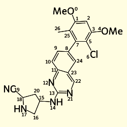 COc1cc(OC)c(Cl)c(-c2ccc3nc(NC4CNC(C#N)C4)ncc3c2)c1C